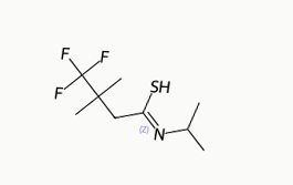 CC(C)/N=C(\S)CC(C)(C)C(F)(F)F